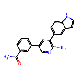 NC(=O)c1cccc(-c2cnc(N)c(-c3ccc4[nH]ccc4c3)c2)c1